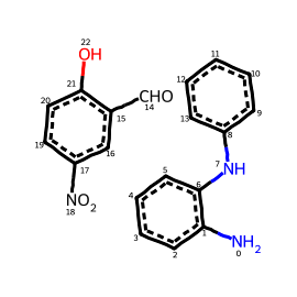 Nc1ccccc1Nc1ccccc1.O=Cc1cc([N+](=O)[O-])ccc1O